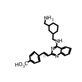 NCC1CCCC(CNc2nc(/C=C/c3ccc(C(=O)O)cc3)nc3ccccc23)C1